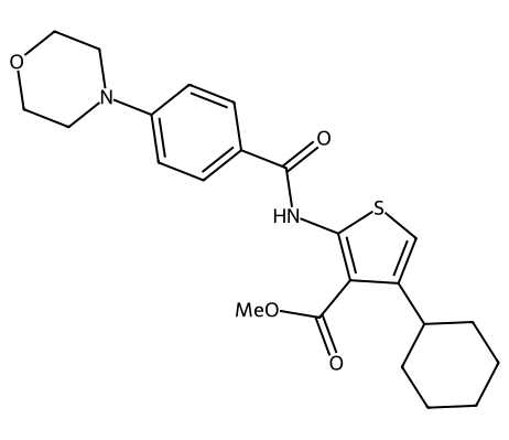 COC(=O)c1c(C2CCCCC2)csc1NC(=O)c1ccc(N2CCOCC2)cc1